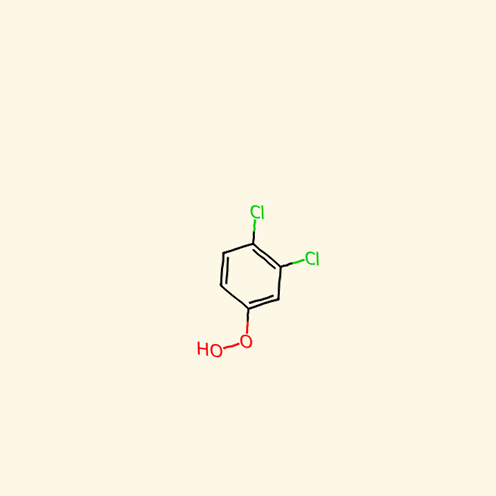 OOc1ccc(Cl)c(Cl)c1